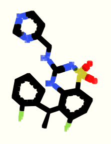 C[C@@H](c1ccccc1F)c1c(F)ccc2c1NC(NCc1ccncn1)=NS2(=O)=O